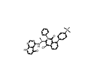 C[C@H](Nc1ncnc2[nH]ccc(=O)c12)c1c(Cl)c2cccc(-c3ccc([Si](C)(C)C)cc3)c2c(=O)n1-c1ccccc1